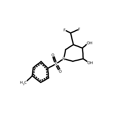 Cc1ccc(S(=O)(=O)N2CC(O)C(O)C(C(F)F)C2)cc1